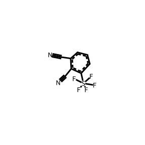 N#Cc1cccc(S(F)(F)(F)(F)F)c1C#N